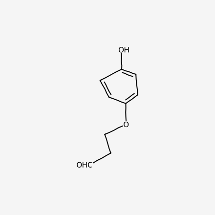 O=CCCOc1ccc(O)cc1